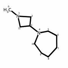 CN1CC(N2CCCCCC2)C1